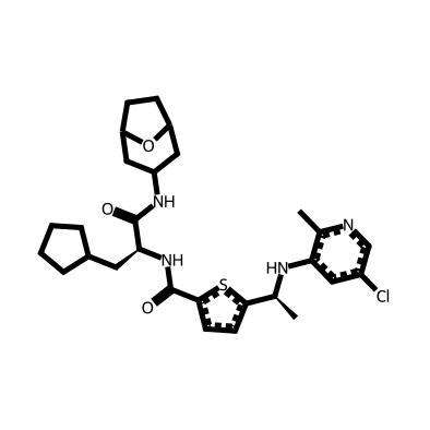 Cc1ncc(Cl)cc1N[C@@H](C)c1ccc(C(=O)N[C@@H](CC2CCCC2)C(=O)NC2CC3CCC(C2)O3)s1